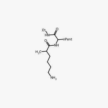 CCCCCC(NC(=O)C(C)CCCCN)C(=O)NCC